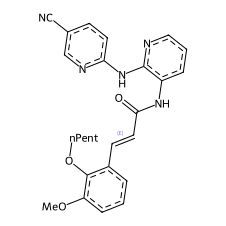 CCCCCOc1c(/C=C/C(=O)Nc2cccnc2Nc2ccc(C#N)cn2)cccc1OC